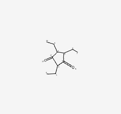 CCC1C(=O)C(CC)C(CC)C1=O